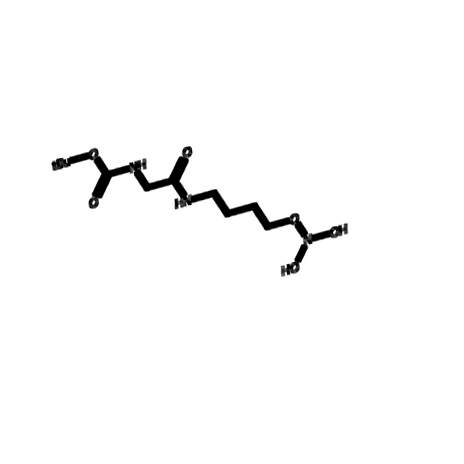 CC(C)(C)OC(=O)NCC(=O)NCCCCON(O)O